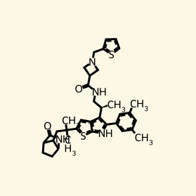 Cc1cc(C)cc(-c2[nH]c3sc(C(C)(C)CC4C5CCC4C(=O)N5)cc3c2[C@H](C)CNC(=O)C2CN(Cc3cccs3)C2)c1